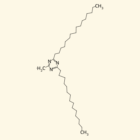 [CH2]c1nc(CCCCCCCCCCCCCCCC)nc(CCCCCCCCCCCCCCCC)n1